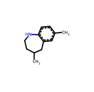 Cc1ccc2c(c1)CC(C)CCN2